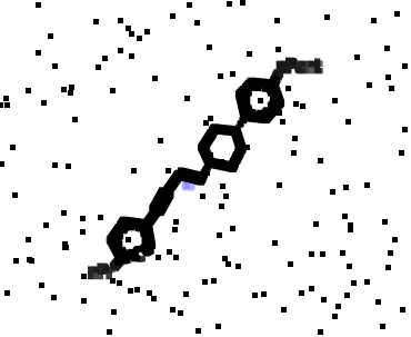 CCCCCc1ccc([C@H]2CC[C@H](/C=C/C#Cc3ccc(CCC)cc3)CC2)cc1